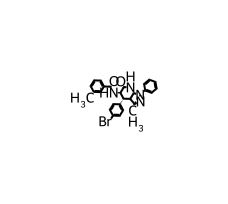 CC1=NN(c2ccccc2)C2NC(=O)[C@H](NC(=O)c3cccc(C)c3)[C@@H](c3ccc(Br)cc3)C12